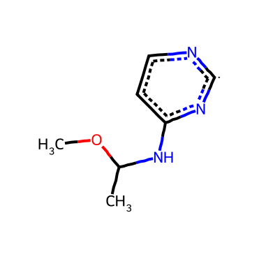 COC(C)Nc1ccn[c]n1